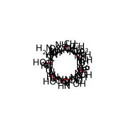 CCCC[C@H]1C(=O)N(C)[C@@H](CCCC)C(=O)N[C@@H](CCCN)C(=O)N[C@H](C(=O)NCC(N)=O)CSCC(=O)N[C@@H](Cc2ccc(O)cc2)C(=O)N2CCCC[C@H]2C(=O)N[C@@H](CC(=O)O)C(=O)N2CCC[C@H]2C(=O)N[C@@H](Cc2c[nH]cn2)C(=O)N[C@@H](CCC(=O)O)C(=O)N2C[C@H](O)C[C@H]2C(=O)N[C@@H](Cc2c[nH]c3ccccc23)C(=O)N[C@@H](CO)C(=O)N[C@@H](Cc2c[nH]c3ccccc23)C(=O)N1C